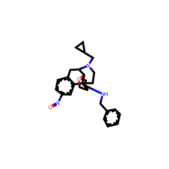 O=Nc1ccc2c(c1)C13CCN(CC4CC4)C(C2)C12CCC(NCc1ccccc1)C3CO2